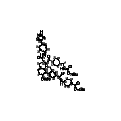 COc1ccc(C[C@H](NC(=O)[C@H]2CC[C@H](CNC(=O)OC(C)(C)C)CC2)C(=O)Nc2ccc(-c3nn[nH]n3)cc2)cc1-c1ccc(C(=O)NC2CCN(C(=O)OC(C)(C)C)CC2)cc1C